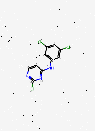 Clc1cc(Cl)cc(Nc2ccnc(Cl)n2)c1